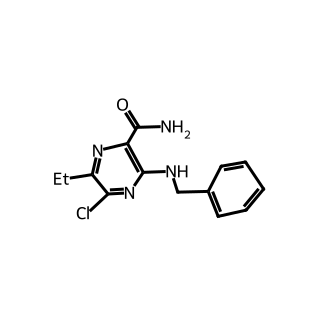 CCc1nc(C(N)=O)c(NCc2ccccc2)nc1Cl